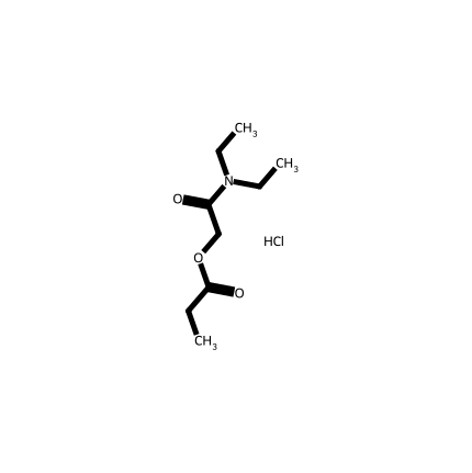 CCC(=O)OCC(=O)N(CC)CC.Cl